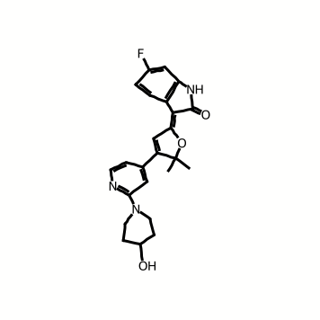 CC1(C)OC(=C2C(=O)Nc3cc(F)ccc32)C=C1c1ccnc(N2CCC(O)CC2)c1